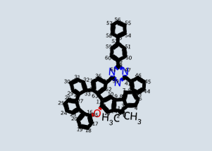 CC1(C)c2ccccc2-c2cc3c(cc21)Oc1ccccc1-c1ccccc1-c1ccccc1-c1ccc(-c2nc(-c4ccccc4)nc(-c4ccc(-c5ccccc5)cc4)n2)cc1-3